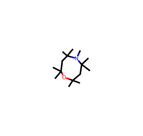 CN1C(C)(C)CC(C)(C)OC(C)(C)CC1(C)C